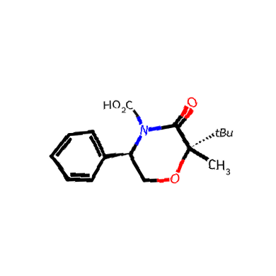 CC(C)(C)[C@]1(C)OC[C@@H](c2ccccc2)N(C(=O)O)C1=O